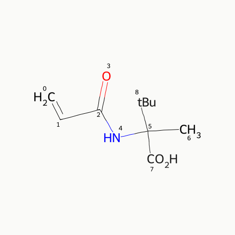 C=CC(=O)NC(C)(C(=O)O)C(C)(C)C